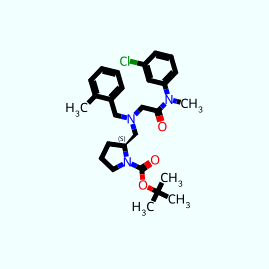 Cc1ccccc1CN(CC(=O)N(C)c1cccc(Cl)c1)C[C@@H]1CCCN1C(=O)OC(C)(C)C